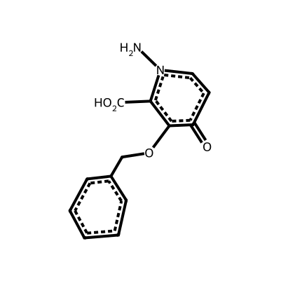 Nn1ccc(=O)c(OCc2ccccc2)c1C(=O)O